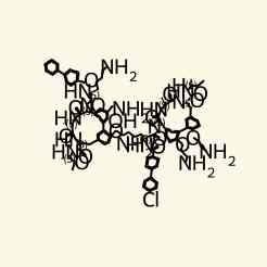 CC(=O)[C@H](C)NC(=O)[C@@H]1Cc2ccc(OC(N)CCC[C@H](NC(=O)c3ccc(-c4ccc(Cl)cc4)cc3)C(=O)N(C)[C@@H]3C(=O)N[C@@H](C)C(=O)N[C@H](C(=O)N[C@@H](C)C(C)=O)Cc4ccc(OCCN)c(c4)-c4cc3ccc4OCCN)c(c2)-c2cc(cc(CN)c2O)[C@H](N(C)C(=O)[C@H](CCCCN)NC(=O)c2ccc(-c3ccccc3)cc2)C(=O)N[C@@H](C)C(=O)N1